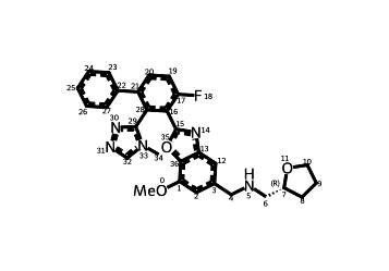 COc1cc(CNC[C@H]2CCCO2)cc2nc(-c3c(F)ccc(-c4ccccc4)c3-c3nncn3C)oc12